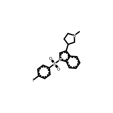 CN1CCC(c2cn(S(=O)(=O)c3ccc(I)cc3)c3ccccc23)C1